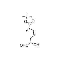 C=C(/C=C\CC(O)C=O)B1OCC(C)(C)O1